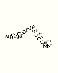 [Ca+2].[Ca+2].[Nb+5].[Nb+5].[O-2].[O-2].[O-2].[O-2].[O-2].[O-2].[O-2]